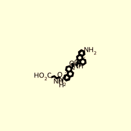 C[C@]1(C(=O)NC(=O)[C@@]2(C)CCC[C@]3(C)c4cc(N)ccc4CC[C@@H]23)CCC[C@]2(C)c3cc(NC(=O)[C@@H](N)CCC(=O)O)ccc3CCC12